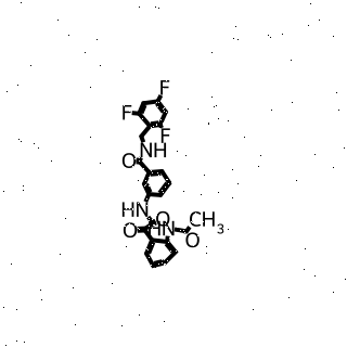 CC(=O)Nc1ccccc1C(=O)C(=O)Nc1cccc(C(=O)NCc2c(F)cc(F)cc2F)c1